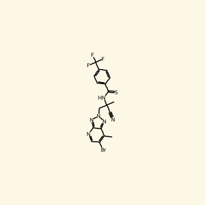 Cc1c(Br)cnc2nn(CC(C)(C#N)NC(=S)c3ccc(C(F)(F)F)cc3)nc12